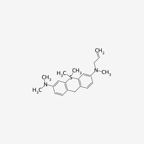 C=CCN(C)c1ccc2c(c1)S(C)(C)c1cc(N(C)C)ccc1C2